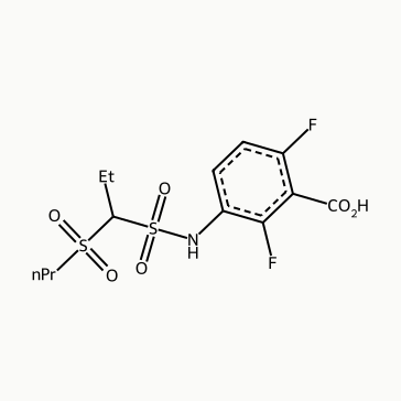 CCCS(=O)(=O)C(CC)S(=O)(=O)Nc1ccc(F)c(C(=O)O)c1F